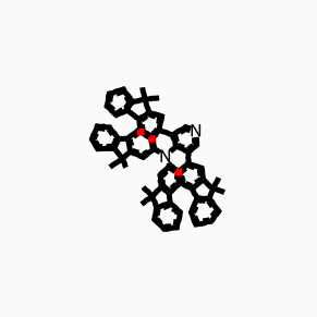 CC1(C)c2ccccc2-c2ccc(-c3cncc(-c4ccc5c(c4)C(C)(C)c4ccccc4-5)c3N(c3ccc4c(c3)C(C)(C)c3ccccc3-4)c3ccc4c(c3)C(C)(C)c3ccccc3-4)cc21